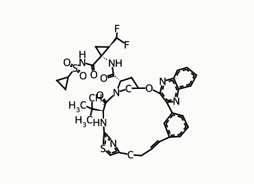 CC(C)(C)[C@@H]1Nc2nc(cs2)CC/C=C/c2cccc(c2)-c2nc3ccccc3nc2OC2C[C@@H](C(=O)N[C@]3(C(=O)NS(=O)(=O)C4CC4)C[C@H]3C(F)F)N(C2)C1=O